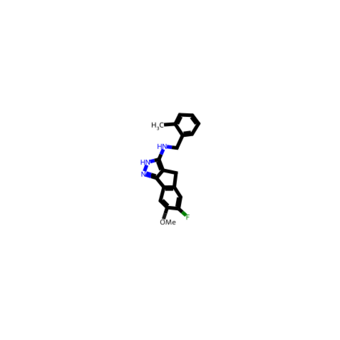 COc1cc2c(cc1F)Cc1c-2n[nH]c1NCc1ccccc1C